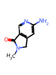 CN1Cc2cc(N)ncc2C1=O